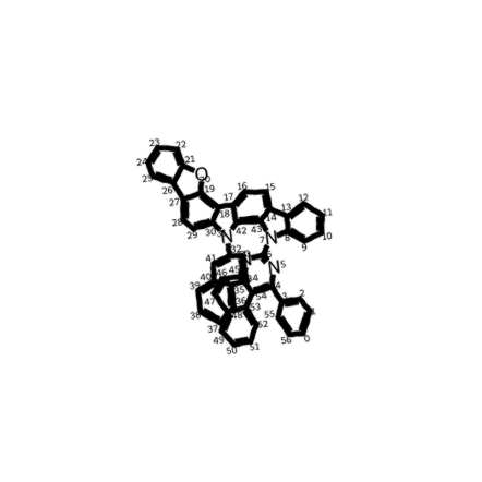 c1ccc(-c2nc(-n3c4ccccc4c4ccc5c6c7oc8ccccc8c7ccc6n(-c6ccc7ccccc7c6)c5c43)nc3ccc4ccccc4c23)cc1